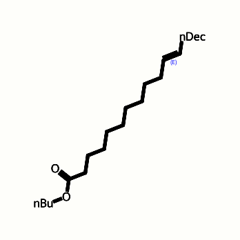 CCCCCCCCCC/C=C/CCCCCCCCCC(=O)OCCCC